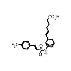 O=C(O)CCCC=CC1CC2CCC1C(NS(=O)(=O)C=Cc1ccc(C(F)(F)F)cc1)C2